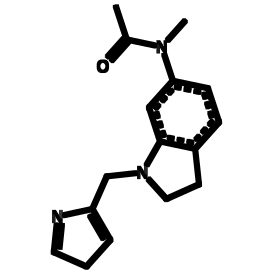 CC(=O)N(C)c1ccc2c(c1)N(CC1=CCC=N1)CC2